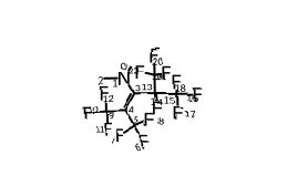 CN(C)C(=C(C(F)(F)F)C(F)(F)F)C(F)(C(F)(F)F)C(F)(F)F